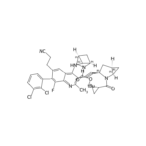 Cc1nc2c(F)c(-c3cccc(Cl)c3Cl)c(CCC#N)cc2c(N[C@H]2[C@@H]3C[C@H]2N(C(=O)OC(C)(C)C)C3)c1C#C[C@H]1C[C@H]2C[C@H]2N1C(=O)C1CC1